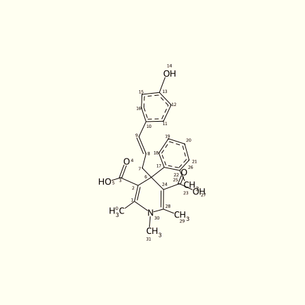 CC1=C(C(=O)O)C(C/C=C/c2ccc(O)cc2)(c2ccccc2C)C(C(=O)O)=C(C)N1C